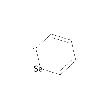 [CH]1C=CC=C[Se]1